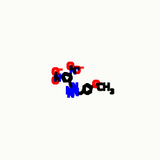 COc1ccc(Cn2nnc(-c3cc([N+](=O)[O-])cc([N+](=O)[O-])c3)n2)cc1